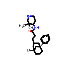 CC[C@@]12CCC[C@@](c3ccccc3)(CC(CCC(=O)NC3CCNCC3(C)C)C1)C2